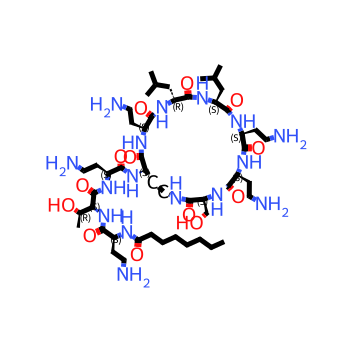 CCCCCCCC(=O)N[C@@H](CCN)C(=O)N[C@H](C(=O)N[C@@H](CCN)C(=O)N[C@H]1CCNC(=O)[C@H](CO)NC(=O)[C@H](CCN)NC(=O)[C@H](CCN)NC(=O)[C@H](CC(C)C)NC(=O)[C@@H](CC(C)C)NC(=O)[C@H](CCN)NC1=O)[C@@H](C)O